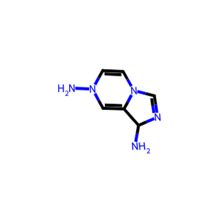 NC1N=CN2C=CN(N)C=C12